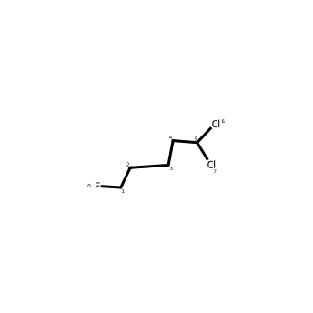 FCCCC[C](Cl)Cl